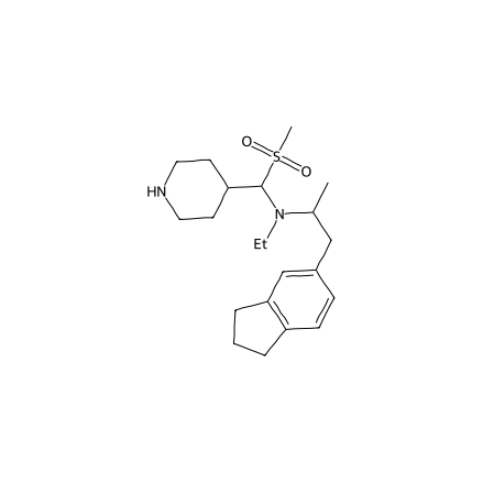 CCN(C(C)Cc1ccc2c(c1)CCC2)C(C1CCNCC1)S(C)(=O)=O